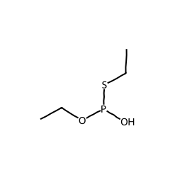 CCOP(O)SCC